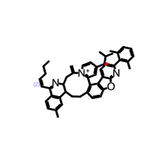 C=C1CC2N=C(/C=C\CCC)c3ccc(C)cc3C2CCc2ccc3oc4nc(-c5c(C)cccc5C)ccc4c3c2-c2cc(CC(C)C)cc[n+]21